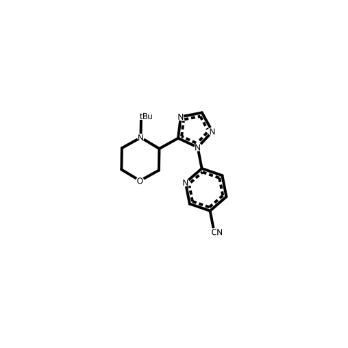 CC(C)(C)N1CCOCC1c1ncnn1-c1ccc(C#N)cn1